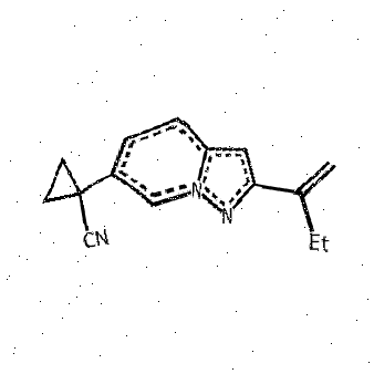 C=C(CC)c1cc2ccc(C3(C#N)CC3)cn2n1